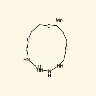 C1CCCCCNNNNNCCCC1.[Mn]